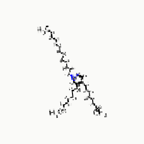 CCCCCCCCCCCCC[n+]1ccc(CCCCCCCC)c(CCCCCCCC)c1